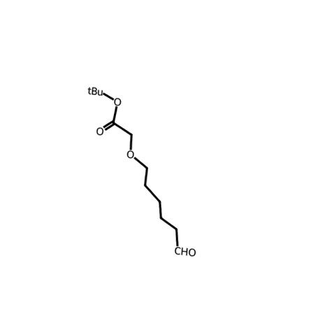 CC(C)(C)OC(=O)COCCCCCC=O